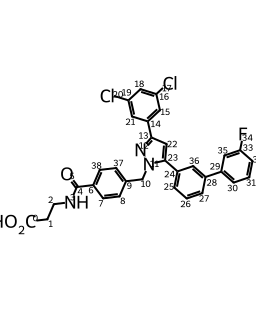 O=C(O)CCNC(=O)c1ccc(Cn2nc(-c3cc(Cl)cc(Cl)c3)cc2-c2cccc(-c3cccc(F)c3)c2)cc1